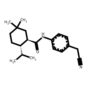 CC(C)[C@@H]1CCC(C)(C)C[C@H]1C(=O)Nc1ccc(CC#N)cc1